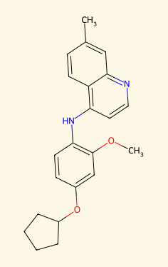 COc1cc(OC2CCCC2)ccc1Nc1ccnc2cc(C)ccc12